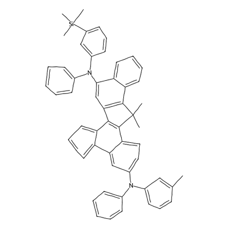 Cc1cccc(N(c2ccccc2)c2ccc3c4c(c5ccccc5c3c2)-c2cc(N(c3ccccc3)c3cccc([Si](C)(C)C)c3)c3ccccc3c2C4(C)C)c1